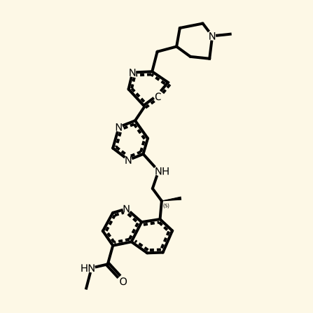 CNC(=O)c1ccnc2c([C@H](C)CNc3cc(-c4ccc(CC5CCN(C)CC5)nc4)ncn3)cccc12